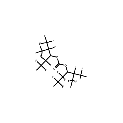 O=C(OC(C(F)(F)C(F)(F)F)C(F)(C(F)(F)F)C(F)(F)F)OC(C(F)(F)C(F)(F)F)C(F)(C(F)(F)F)C(F)(F)F